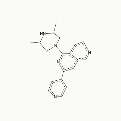 CC1CN(c2nc(-c3ccncc3)cc3cnccc23)CC(C)N1